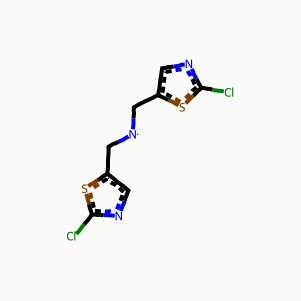 Clc1ncc(C[N]Cc2cnc(Cl)s2)s1